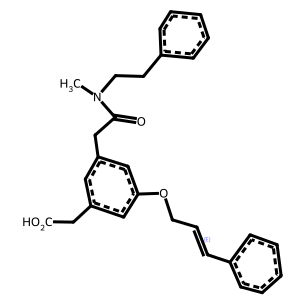 CN(CCc1ccccc1)C(=O)Cc1cc(CC(=O)O)cc(OC/C=C/c2ccccc2)c1